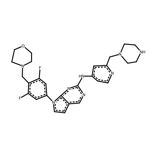 Fc1cc(-n2ccc3cnc(Nc4ccnc(CN5CCNCC5)c4)nc32)cc(F)c1CN1CCOCC1